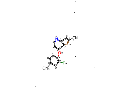 N#Cc1cc2nccc(Oc3ccc(N=O)cc3F)c2s1